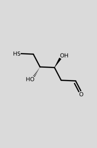 O=CC[C@H](O)[C@H](O)CS